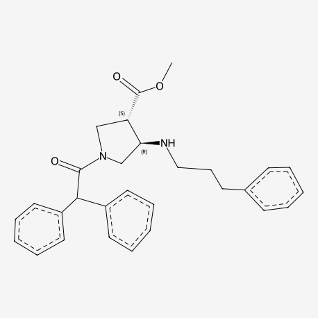 COC(=O)[C@H]1CN(C(=O)C(c2ccccc2)c2ccccc2)C[C@@H]1NCCCc1ccccc1